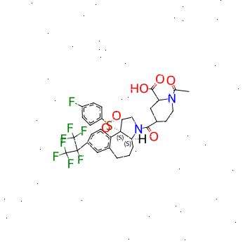 CC(=O)N1CCC(C(=O)N2CC[C@]3(S(=O)(=O)c4ccc(F)cc4)c4ccc(C(F)(C(F)(F)F)C(F)(F)F)cc4CCC[C@H]23)CC1C(=O)O